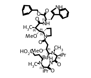 CC[C@H](C)[C@@H]([C@@H](CC(=O)N1CCC[C@H]1[C@H](OC)[C@@H](C)C(=O)N[C@@H](Cc1c[nH]c2ccccc12)C(=O)OCc1ccccc1)OC)N(C)[C@H](C(=O)NC(=O)[C@H](C(C)C)N(C)CCCC(=O)O)C(C)C